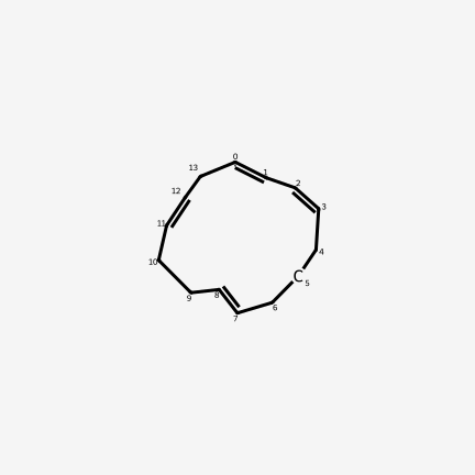 [C]1=C/C=C\CCC/C=C/CC/C=C/C/1